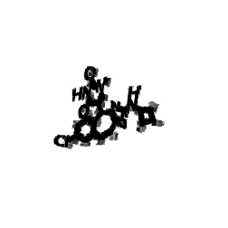 Cn1cc(C2c3ccc(Cl)cc3C=Cc3sc(NC4CCC4)nc32)c(=O)[nH]c1=O